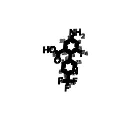 Nc1cc(F)c(-c2ccc(C(F)(F)F)nc2)c(C(=O)O)c1